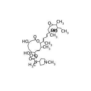 CCC(O)C(C)C1OC1CC(C)(O)/C=C/C=C(\C)C1OC(=O)CC(O)CCC(C)(O)C(OC(=O)N(C)C2CCN(C)CC2)/C=C/C1C